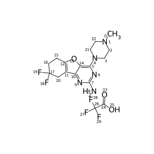 CN1CCN(c2nc(N)nc3c4c(oc23)CCC(F)(F)C4)CC1.O=C(O)C(F)(F)F